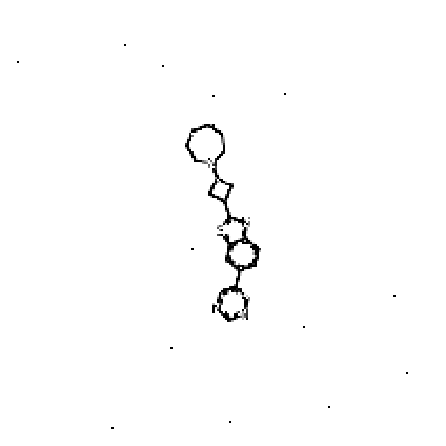 c1ncc(-c2ccc3nc(C4CC(N5CCCCCC5)C4)sc3c2)cn1